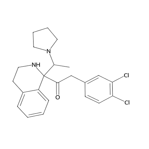 CC(N1CCCC1)C1(C(=O)Cc2ccc(Cl)c(Cl)c2)NCCc2ccccc21